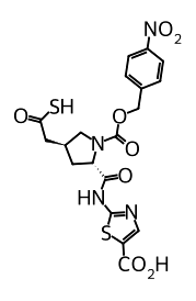 O=C(S)C[C@@H]1C[C@@H](C(=O)Nc2ncc(C(=O)O)s2)N(C(=O)OCc2ccc([N+](=O)[O-])cc2)C1